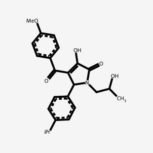 COc1ccc(C(=O)C2=C(O)C(=O)N(CC(C)O)C2c2ccc(C(C)C)cc2)cc1